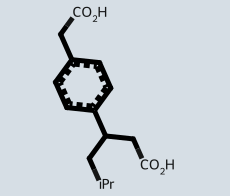 CC(C)CC(CC(=O)O)c1ccc(CC(=O)O)cc1